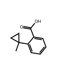 CC1(c2ccccc2C(=O)O)CC1